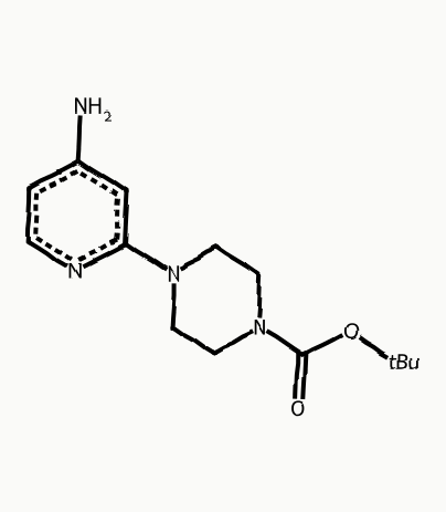 CC(C)(C)OC(=O)N1CCN(c2cc(N)ccn2)CC1